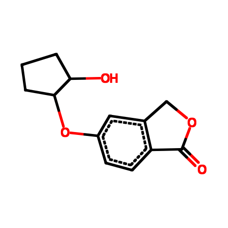 O=C1OCc2cc(OC3CCCC3O)ccc21